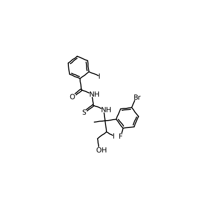 CC(NC(=S)NC(=O)c1ccccc1I)(c1cc(Br)ccc1F)C(I)CO